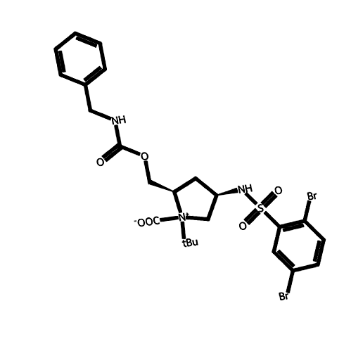 CC(C)(C)[N+]1(C(=O)[O-])C[C@H](NS(=O)(=O)c2cc(Br)ccc2Br)C[C@@H]1COC(=O)NCc1ccccc1